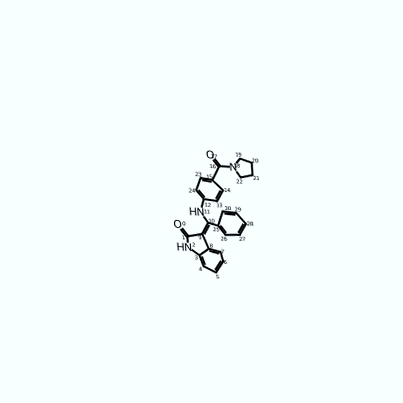 O=C1Nc2ccccc2/C1=C(/Nc1ccc(C(=O)N2CCCC2)cc1)c1ccccc1